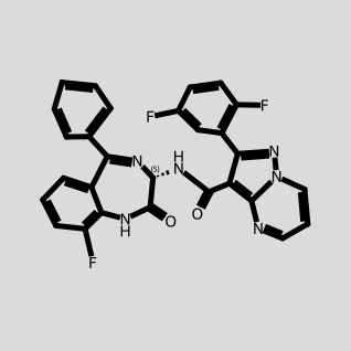 O=C(N[C@H]1N=C(c2ccccc2)c2cccc(F)c2NC1=O)c1c(-c2cc(F)ccc2F)nn2cccnc12